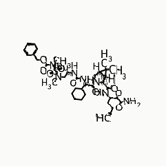 C#CCCC(NC(=O)[C@@H]1[C@@H]2[C@H](CN1C(=O)[C@@H](NC(=O)N[C@H](CN(C)S(=O)(=O)N(C)C(=O)OCc1ccccc1)C(C)(C)C)C1CCCCC1)C2(C)C)C(=O)C(N)=O